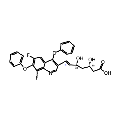 O=C(O)C[C@H](O)C[C@H](O)/C=C/c1cnc2c(F)c(Oc3ccccc3)c(F)cc2c1Oc1ccccc1